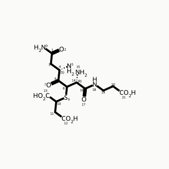 NC(=O)C[C@H](N)C(=O)C(SC(CC(=O)O)C(=O)O)[C@H](N)C(=O)NCCC(=O)O